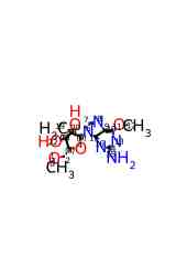 COC[C@H]1O[C@@H](n2cnc3c(OC)nc(N)nc32)[C@](C)(O)[C@@H]1O